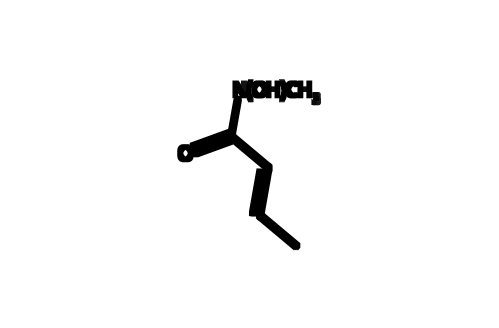 [CH2]N(O)C(=O)/C=C/C